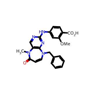 COc1cc(Nc2ncc3c(n2)N(Cc2ccccc2)C=CC(=O)N3C)ccc1C(=O)O